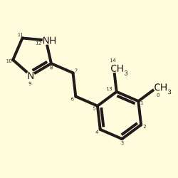 Cc1cccc(CCC2=NCCN2)c1C